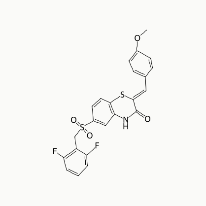 COc1ccc(C=C2Sc3ccc(S(=O)(=O)Cc4c(F)cccc4F)cc3NC2=O)cc1